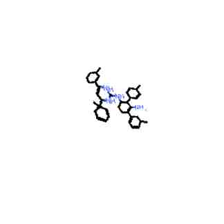 CC1C=C(C2=CC(C3(C)C=CC=CC3)NC(NC3CCC(C4=CC=CC(C)C4)=C(N)C3C3C=CC(C)CC3)N2)CCC1